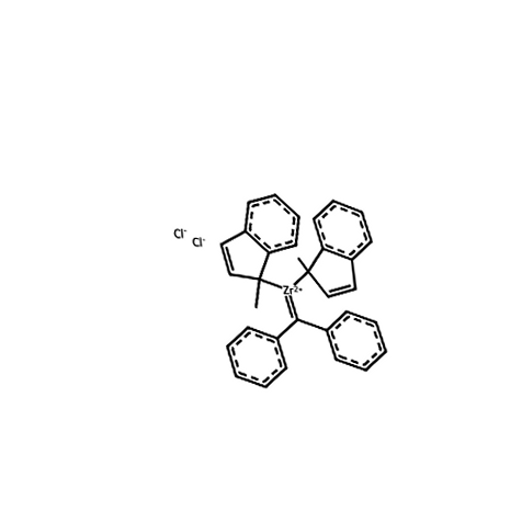 C[C]1([Zr+2](=[C](c2ccccc2)c2ccccc2)[C]2(C)C=Cc3ccccc32)C=Cc2ccccc21.[Cl-].[Cl-]